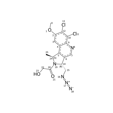 COc1cc2c3c(cnc2c(Cl)c1Cl)[C@H](CN=[N+]=[N-])N(C(=O)CO)[C@H]3C